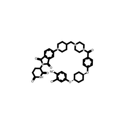 N#Cc1ccc(O[C@H]2CC[C@H](Oc3ccc(C(=O)N4CCN(CC5CCN(c6ccc7c(c6)C(=O)N(C6CCC(=O)NC6=O)C7=O)CC5)CC4)cc3)CC2)cc1Cl